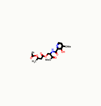 COC(=O)C(COC(=O)CC(C)OC(=O)C(C)C)NC(=O)c1nccc(OC)c1O